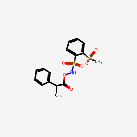 CC(C(=O)ONS(=O)(=O)c1ccccc1S(C)(=O)=O)c1ccccc1